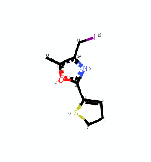 Cc1oc(C2=CCCS2)nc1CI